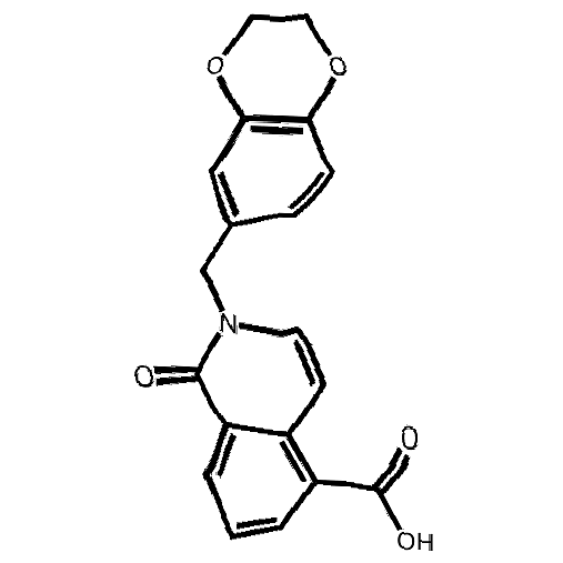 O=C(O)c1cccc2c(=O)n(Cc3ccc4c(c3)OCCO4)ccc12